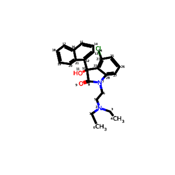 CCN(CC)CCN1C(=O)C(O)(c2cccc3ccccc23)c2c(Cl)cccc21